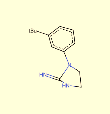 CC(C)(C)c1cccc(N2CCNC2=N)c1